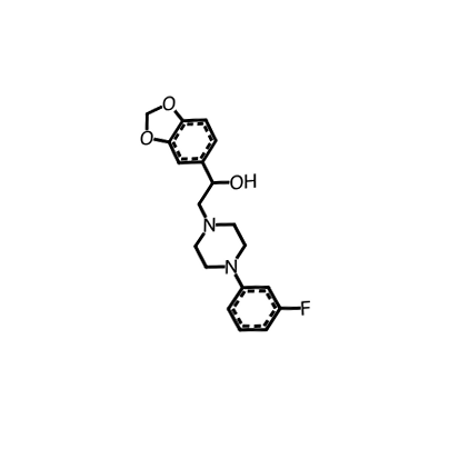 OC(CN1CCN(c2cccc(F)c2)CC1)c1ccc2c(c1)OCO2